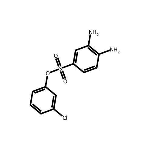 Nc1ccc(S(=O)(=O)Oc2cccc(Cl)c2)cc1N